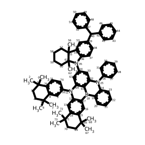 CC1(C)CCC(C)(C)c2cc(N3c4cc5c(cc4B4c6ccccc6N(c6ccccc6)c6cc(N7c8ccc(C(c9ccccc9)c9ccccc9)cc8C8(C)CCCCC78C)cc3c64)C(C)(C)CCC5(C)C)ccc21